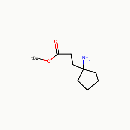 CC(C)(C)OC(=O)CCC1(N)CCCC1